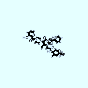 CCc1c(N2CCN(C(=O)c3ncccc3O)CC2)c(=O)n2nc(C3=CCCCN3)nc2n1CC(=O)Nc1ccc(C(F)(F)F)cc1C